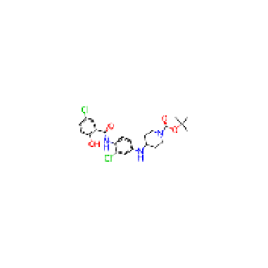 CC(C)(C)OC(=O)N1CCC(Nc2ccc(NC(=O)c3cc(Cl)ccc3O)c(Cl)c2)CC1